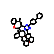 C=C1/C=C(c2nc(-c3ccc(-c4ccccc4)cc3)nc(-c3ccc4ccccc4c3)n2)\C(C2CCc3cc4ccccc4cc3C3C=CC=C[C@H]23)=C/Oc2ccccc21